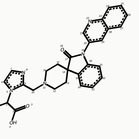 CC(C(=O)O)n1ccnc1CN1CCC2(CC1)C(=O)N(c1cnc3ccccc3c1)c1ccccc12